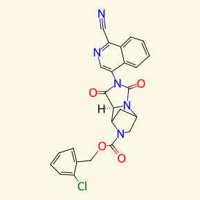 N#Cc1ncc(N2C(=O)[C@@H]3C4CC(CN4C(=O)OCc4ccccc4Cl)N3C2=O)c2ccccc12